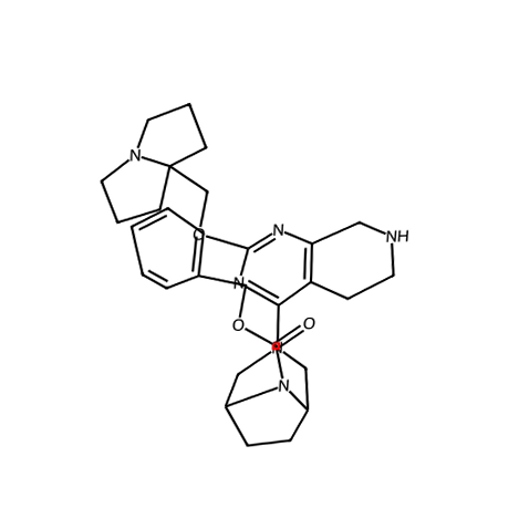 O=C(OCc1ccccc1)N1C2CCC1CN(c1nc(OCC34CCCN3CCC4)nc3c1CCNC3)C2